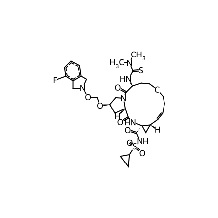 CN(C)C(=S)N[C@H]1CCCCC/C=C\[C@@H]2C[C@@]2(C(=O)NS(=O)(=O)C2CC2)NC(=O)[C@@H]2C[C@@H](OCON3Cc4cccc(F)c4C3)CN2C1=O